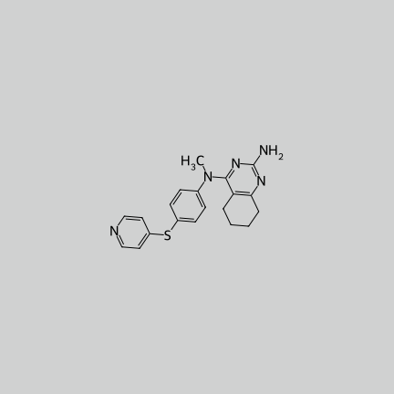 CN(c1ccc(Sc2ccncc2)cc1)c1nc(N)nc2c1CCCC2